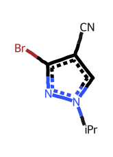 CC(C)n1cc(C#N)c(Br)n1